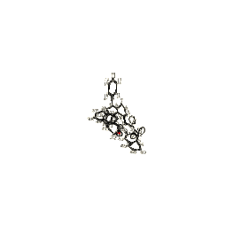 O=[N+]([O-])c1oc2ccc3c(-c4ccccc4)cc4ccc5ccccc5c4c3c2c1P(=O)(c1ccc2ccccc2c1)c1ccc2ccccc2c1